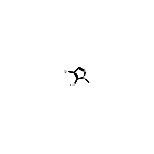 Cn1ncc(Br)c1O